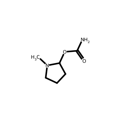 CN1CCC[C]1OC(N)=O